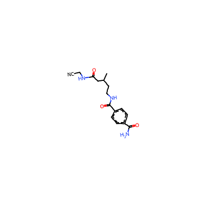 CC(CCNC(=O)c1ccc(C(N)=O)cc1)CC(=O)NCC#N